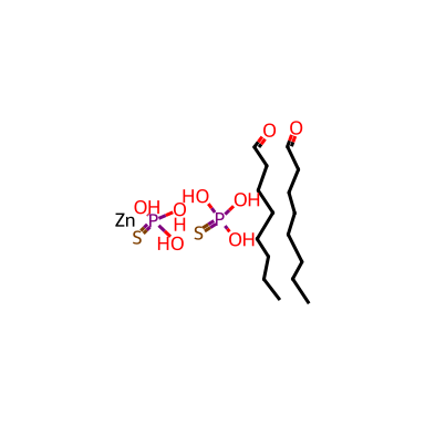 CCCCCCCC=O.CCCCCCCC=O.OP(O)(O)=S.OP(O)(O)=S.[Zn]